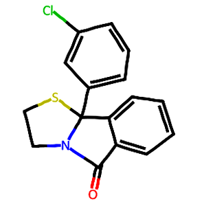 O=C1c2ccccc2C2(c3cccc(Cl)c3)SCCN12